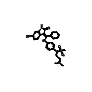 CN(C)CCN(c1ccc(NC(=C2C(=O)Nc3cc(Br)ccc32)c2ccccc2)cc1)S(C)(=O)=O